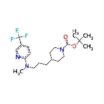 CN(CCCC1CCN(C(=O)OC(C)(C)C)CC1)c1ccc(C(F)(F)F)cn1